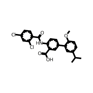 COc1ccc(C(C)C)cc1-c1ccc(NC(=O)c2ccc(Cl)cc2Cl)c(C(=O)O)c1